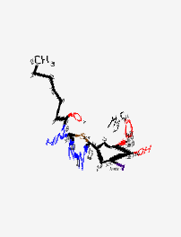 CCCCCCC(=O)Nc1nnc(-c2cc(I)c(O)c(OC)c2)s1